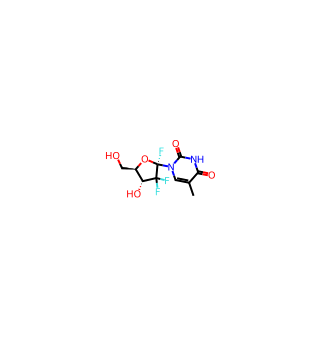 Cc1cn([C@]2(F)O[C@H](CO)[C@@H](O)C2(F)F)c(=O)[nH]c1=O